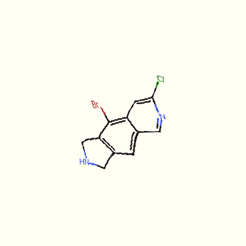 Clc1cc2c(Br)c3c(cc2cn1)CNC3